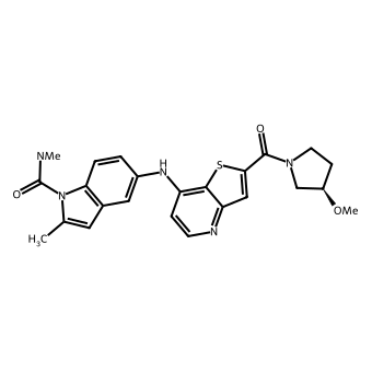 CNC(=O)n1c(C)cc2cc(Nc3ccnc4cc(C(=O)N5CC[C@@H](OC)C5)sc34)ccc21